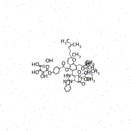 COC(=O)/C(C)=C\CC1(O)C(=O)C2CC(C(C)C)C13Oc1c(CC=C(C)C)c4c(c(OC(=O)c5ccc(O[C@H]6O[C@@H](CO)[C@H](O)[C@@H](O)[C@@H]6O)cc5)c1C1=C3C2n2c(nc3ccccc32)N1)C=CC(C)(CCC=C(C)C)O4